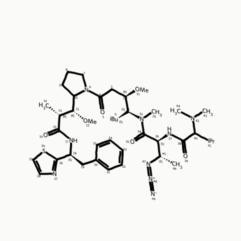 CC[C@H](C)[C@@H]([C@@H](CC(=O)N1CCCC1[C@H](OC)[C@@H](C)C(=O)N[C@@H](Cc1ccccc1)c1nccs1)OC)N(C)C(=O)[C@@H](NC(=O)C(C(C)C)N(C)C)[C@H](C)N=[N+]=[N-]